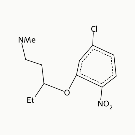 CCC(CCNC)Oc1cc(Cl)ccc1[N+](=O)[O-]